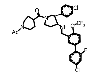 CC(=O)N1CCC(C(=O)N2CC[C@H](NCc3cc(-c4ccc(Cl)cc4F)ccc3OC(F)(F)F)[C@H](c3ccccc3)C2)CC1.Cl